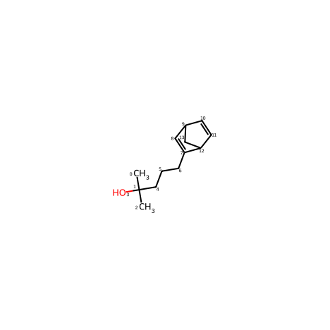 CC(C)(O)CCCC1=CC2C=CC1C2